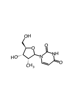 C[C@H]1C(n2ccc(=O)[nH]c2=O)O[C@H](CO)[C@H]1O